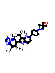 Cc1c(-c2[nH]c3ccc(C4CCC(N5CC6(COC6)C5)CC4)nc3c2C(C)C)cn2ncnc2c1C